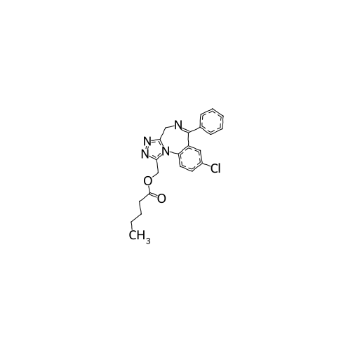 CCCCC(=O)OCc1nnc2n1-c1ccc(Cl)cc1C(c1ccccc1)=NC2